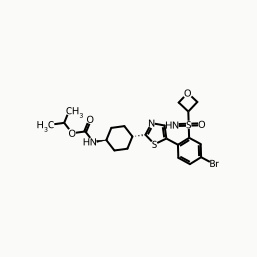 CC(C)OC(=O)N[C@H]1CC[C@H](c2ncc(-c3ccc(Br)cc3S(=N)(=O)C3COC3)s2)CC1